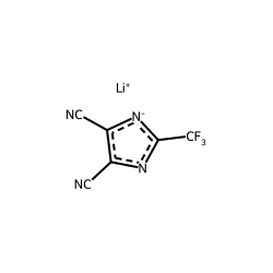 N#Cc1nc(C(F)(F)F)[n-]c1C#N.[Li+]